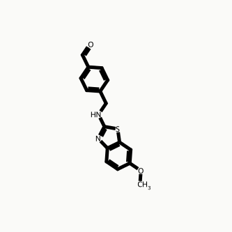 COc1ccc2nc(NCc3ccc(C=O)cc3)sc2c1